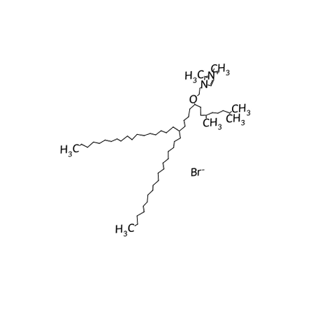 CCCCCCCCCCCCCCCCCCC(CCCCCCCCCCCCCCCCCC)CCCCC(CCC(C)CCCC(C)C)OCCn1cc[n+](C)c1C.[Br-]